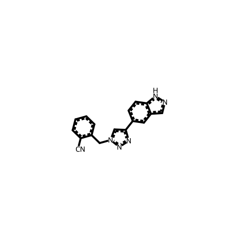 N#Cc1ccccc1Cn1cc(-c2ccc3[nH]ncc3c2)nn1